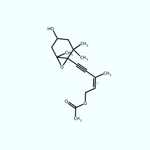 CC(=O)OC/C=C(/C)C#CC12OC1(C)CC(O)CC2(C)C